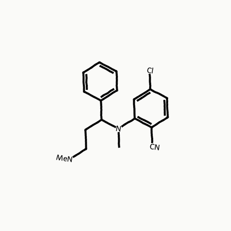 CNCCC(c1ccccc1)N(C)c1cc(Cl)ccc1C#N